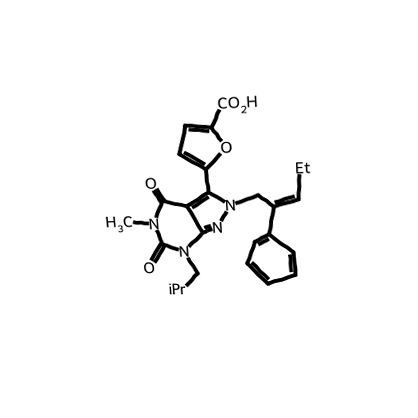 CC/C=C(\Cn1nc2c(c1-c1ccc(C(=O)O)o1)c(=O)n(C)c(=O)n2CC(C)C)c1ccccc1